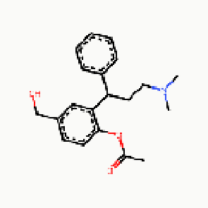 CC(=O)Oc1ccc(CO)cc1C(CCN(C)C)c1ccccc1